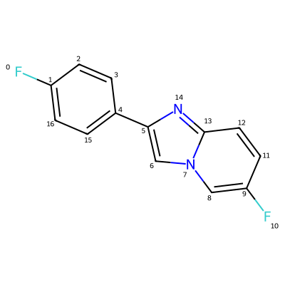 Fc1ccc(-c2cn3cc(F)ccc3n2)cc1